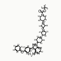 CC(C)(C)OC(=O)N1CCC(N2CC(N3CC[C@H](N4CCC(n5nc(-c6ccc(Oc7ccccc7)cc6)c6c(N)ncnc65)CC4)C3)C2)CC1